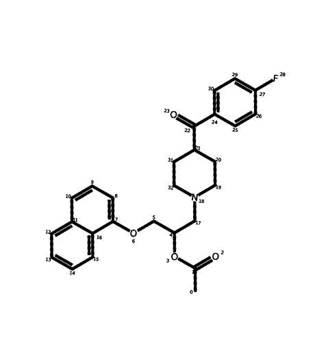 CC(=O)OC(COc1cccc2ccccc12)CN1CCC(C(=O)c2ccc(F)cc2)CC1